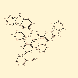 N#Cc1ccccc1-c1cc(-c2ccccc2)c(-c2cc(-c3ccc4sc5ccccc5c4c3)cc(-c3ccc4sc5ccccc5c4c3)c2)c(-c2ccccc2)c1